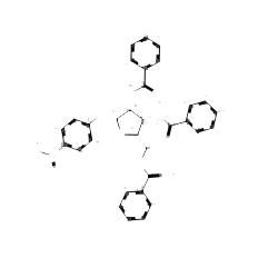 O=C(OC[C@H]1O[C@H](Oc2ccc([N+](=O)[O-])cc2)[C@H](OC(=O)c2ccccc2)[C@@H]1OC(=O)c1ccccc1)c1ccccc1